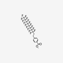 COC(=O)c1ccc(CCC(F)(F)C(F)(F)C(F)(F)C(F)(F)C(F)(F)C(F)(F)C(F)(F)C(F)(F)F)cc1